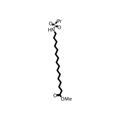 COC(=O)CCCCCCCCCCCCCCCNS(=O)(=O)C(C)C